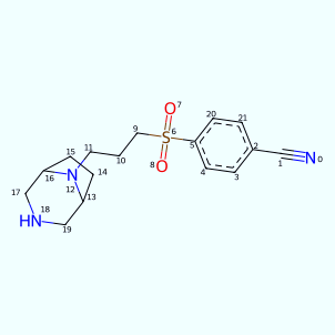 N#Cc1ccc(S(=O)(=O)CCCN2C3CCC2CNC3)cc1